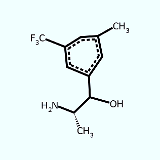 Cc1cc(C(O)[C@H](C)N)cc(C(F)(F)F)c1